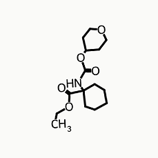 CCOC(=O)C1(NC(=O)OC2CCOCC2)CCCCC1